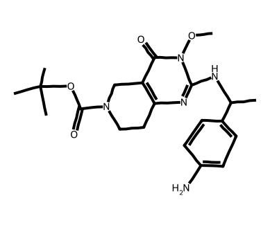 COn1c(NC(C)c2ccc(N)cc2)nc2c(c1=O)CN(C(=O)OC(C)(C)C)CC2